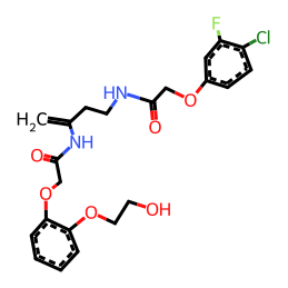 C=C(CCNC(=O)COc1ccc(Cl)c(F)c1)NC(=O)COc1ccccc1OCCO